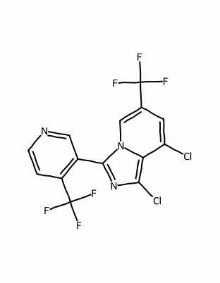 FC(F)(F)c1cc(Cl)c2c(Cl)nc(-c3cnccc3C(F)(F)F)n2c1